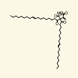 C=C(C(=O)O)C(C(=O)O)(C(=O)CCCCCCCC=CCCCCCCCC)C(=O)CCCCCCCC=CCCCCCCCC